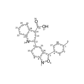 Cc1ccc(-c2onc3ccc(-c4cc(C(=O)O)c5ccccc5n4)cc23)cc1